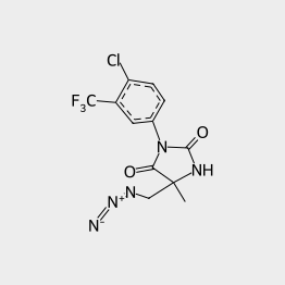 CC1(CN=[N+]=[N-])NC(=O)N(c2ccc(Cl)c(C(F)(F)F)c2)C1=O